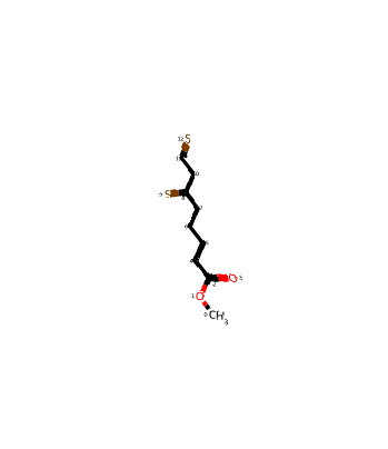 COC(=O)CCCCC(=S)CC=S